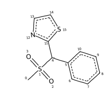 CS(=O)(=O)[C](c1ccccc1)c1nccs1